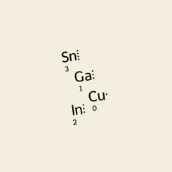 [Cu].[Ga].[In].[Sn]